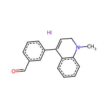 CN1CC=C(c2cccc(C=O)c2)c2ccccc21.I